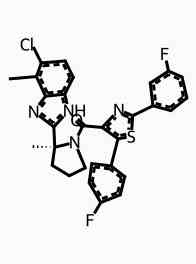 Cc1c(Cl)ccc2[nH]c([C@]3(C)CCCN3C(=O)c3nc(-c4cccc(F)c4)sc3-c3ccc(F)cc3)nc12